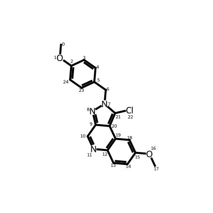 COc1ccc(Cn2nc3cnc4ccc(OC)cc4c3c2Cl)cc1